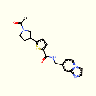 CCC(=O)N1CCC(c2ccc(C(=O)NCc3ccn4ccnc4c3)s2)C1